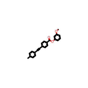 COc1cccc(OC(=O)c2ccc(C#Cc3ccc(C)cc3)cc2)c1